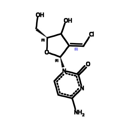 Nc1ccn([C@@H]2O[C@H](CO)C(O)/C2=C\Cl)c(=O)n1